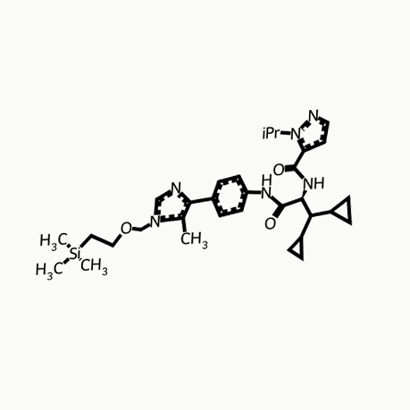 Cc1c(-c2ccc(NC(=O)[C@@H](NC(=O)c3ccnn3C(C)C)C(C3CC3)C3CC3)cc2)ncn1COCC[Si](C)(C)C